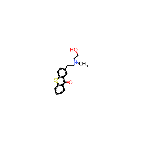 CN(CCO)CCc1ccc2sc3ccccc3c(=O)c2c1